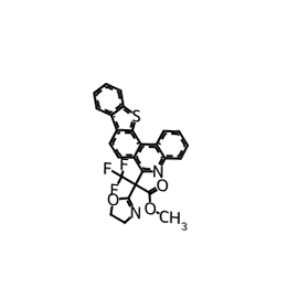 COC(=O)C(C1=NCCO1)(c1nc2ccccc2c2c1ccc1c3ccccc3sc12)C(F)(F)F